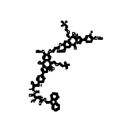 CC[C@@]12CC(c3ccc(NC(=O)[C@H](C)NC(=O)[C@@H](NC(=O)OCC4c5ccccc5-c5ccccc54)C(C)C)cc3)=CN1C(=O)c1cc(OC)c(OCCCOc3cc4c(cc3OC)C(=O)N3C=C(c5ccc(OC)c(F)c5)C[C@H]3C(=O)N4COCC[Si](C)(C)C)cc1N(COCC[Si](C)(C)C)C2=O